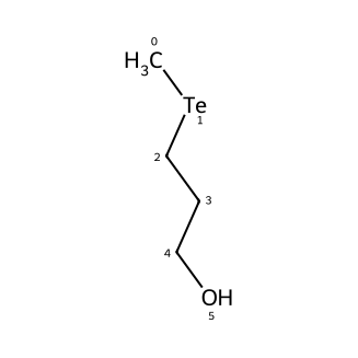 C[Te]CCCO